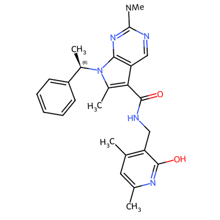 CNc1ncc2c(C(=O)NCc3c(C)cc(C)nc3O)c(C)n([C@H](C)c3ccccc3)c2n1